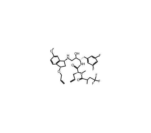 C=CCO[C@@H]1C[C@H](NC[C@@H](O)[C@H](Cc2cc(F)cc(F)c2)NC(=O)[C@H](CC=C)N(C)C(=O)C(C)CC(F)(F)F)c2cc(OC)ccc21